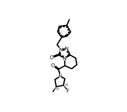 Cc1ccc(Cn2nc3n(c2=O)C(C(=O)N2C[C@@H](F)[C@@H](C)C2)CCC3)cc1